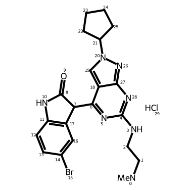 CNCCNc1nc(C2C(=O)Nc3ccc(Br)cc32)c2cn(C3CCCC3)nc2n1.Cl